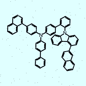 c1ccc(-c2ccc(N(c3ccc(-c4ccccc4-n4c5ccccc5c5c(-c6ccc7ccccc7c6)cccc54)cc3)c3ccc(-c4cccc5ccccc45)cc3)cc2)cc1